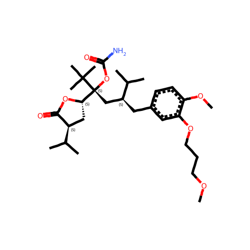 COCCCOc1cc(C[C@@H](C[C@@](OC(N)=O)([C@@H]2C[C@@H](C(C)C)C(=O)O2)C(C)(C)C)C(C)C)ccc1OC